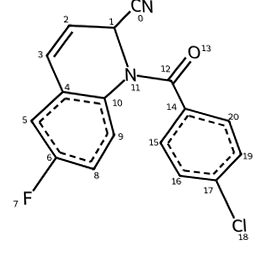 N#CC1C=Cc2cc(F)ccc2N1C(=O)c1ccc(Cl)cc1